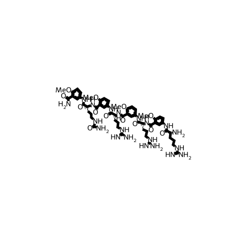 COc1ccc(NC(=O)[C@@H](CCCNC(N)=O)NC(=O)c2cc(NC(=O)[C@@H](CCCNC(=N)N)NC(=O)c3cc(NC(=O)[C@@H](CCCNC(=N)N)NC(=O)c4cc(NC(=O)[C@H](N)CCCNC(=N)N)ccc4OC)ccc3OC)ccc2OC)cc1C(N)=O